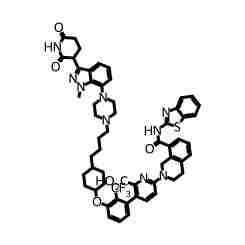 Cn1nc(C2CCC(=O)NC2=O)c2cccc(N3CCN(CCCCC4CCC(Oc5cccc(-c6ccc(N7CCc8cccc(C(=O)Nc9nc%10ccccc%10s9)c8C7)nc6C(=O)O)c5C(F)(F)F)CC4)CC3)c21